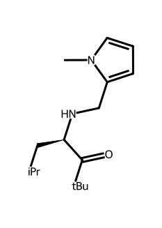 CC(C)C[C@@H](NCc1cccn1C)C(=O)C(C)(C)C